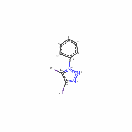 Ic1nnn(-c2ccccc2)c1I